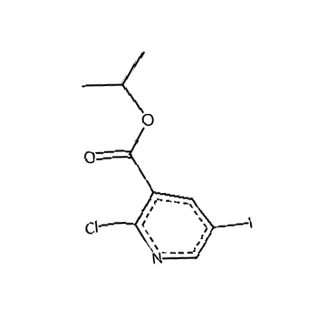 CC(C)OC(=O)c1cc(I)cnc1Cl